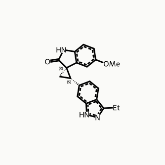 CCc1n[nH]c2cc([C@@H]3C[C@@]34C(=O)Nc3ccc(OC)cc34)ccc12